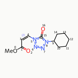 COC(=O)/C=C\n1nnn(C2CCCCC2)c1=O